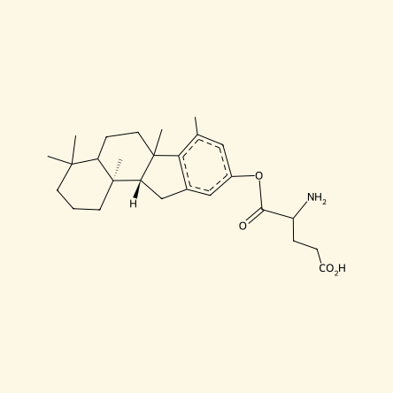 Cc1cc(OC(=O)C(N)CCC(=O)O)cc2c1C1(C)CCC3C(C)(C)CCC[C@]3(C)[C@H]1C2